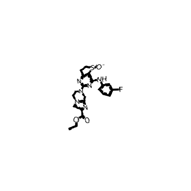 CCOC(=O)c1cn2c(n1)CN(c1nc3c(c(Nc4cccc(F)c4)n1)[S+]([O-])CC3)CC2